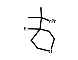 CCCC(C)(C)C1(CC)CCOCC1